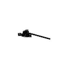 C#CC#CC#CC#CC#CC#CC#CC#CC#CC#CC#CCC(=O)N[C@@H](CO)[C@H](O[Si](C)(C)C(C)(C)C)[C@@H](CCCCCCCC)O[Si](C)(C)C(C)(C)C